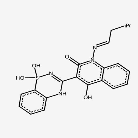 CC(C)CC=Nn1c(=O)c(C2=NS(O)(O)c3ccccc3N2)c(O)c2ccccc21